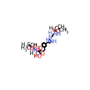 CC(C)(C)OC(=O)NCCNC1=NC(c2ccc3c(c2)CC[C@H]([C@](C)(ONC(=O)OC(C)(C)C)C(=O)O)O3)CN1